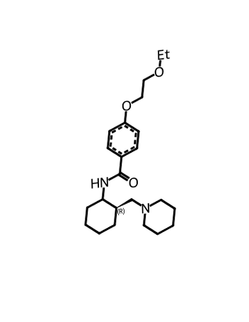 CCOCCOc1ccc(C(=O)NC2CCCC[C@@H]2CN2CCCCC2)cc1